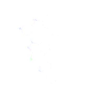 CCCCCC(C)NC1=CC(n2nc(Cl)c3c(C4C=Nc5ccccc5C4)cccc32)=CNC1